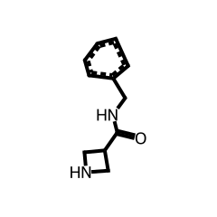 O=C(NCc1ccccc1)C1CNC1